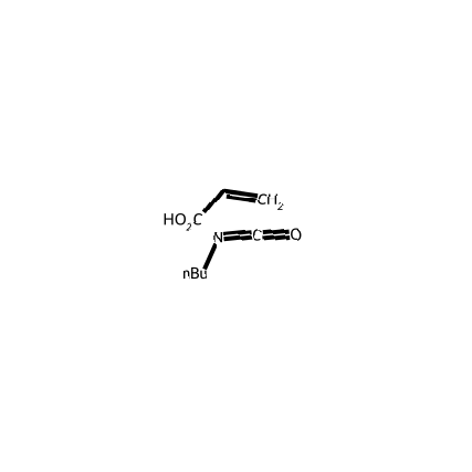 C=CC(=O)O.CCCCN=C=O